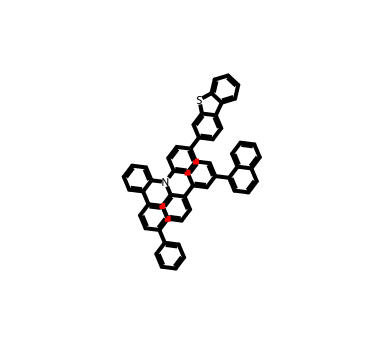 c1ccc(-c2ccc(-c3ccccc3N(c3ccc(-c4ccc5c(c4)sc4ccccc45)cc3)c3ccccc3-c3cccc(-c4cccc5ccccc45)c3)cc2)cc1